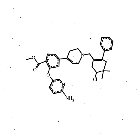 COC(=O)c1ccc(C2=CCN(CC3=C(c4ccccc4)CC(C)(C)C(Cl)C3)CC2)cc1Oc1ccc(N)nc1